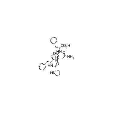 NC(=O)C[C@H](NC(=O)[C@H](Cc1ccccc1)NC(=O)[C@@H]1CCCN1)C(=O)N[C@@H](Cc1ccccc1)C(=O)O